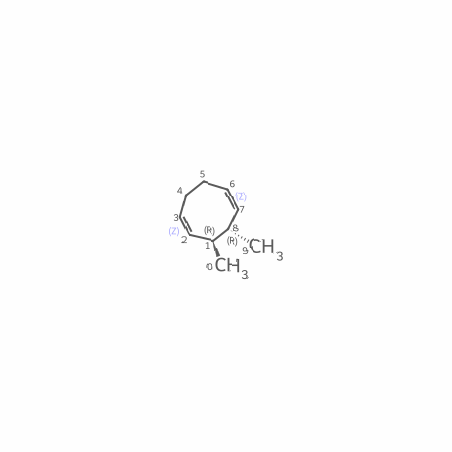 C[C@H]1/C=C\CC/C=C\[C@@H]1C